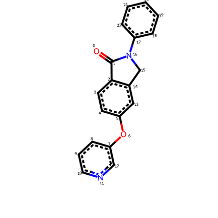 O=C1c2ccc(Oc3cccnc3)cc2CN1c1ccccc1